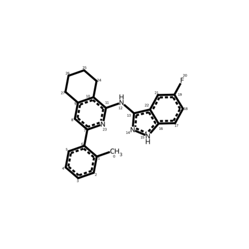 Cc1ccccc1-c1cc2c(c(Nc3n[nH]c4ccc(F)cc34)n1)CCCC2